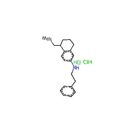 CNCC1CCCc2cc(NCCc3ccccc3)ccc21.Cl.Cl